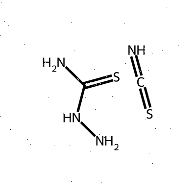 N=C=S.NNC(N)=S